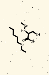 CCCCC[Se]CC.C[Se]NC(CS)C(=O)O